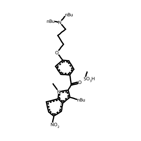 CCCCc1c(C(=O)c2ccc(OCCCN(CCCC)CCCC)cc2)n(C)c2ccc([N+](=O)[O-])cc12.CS(=O)(=O)O